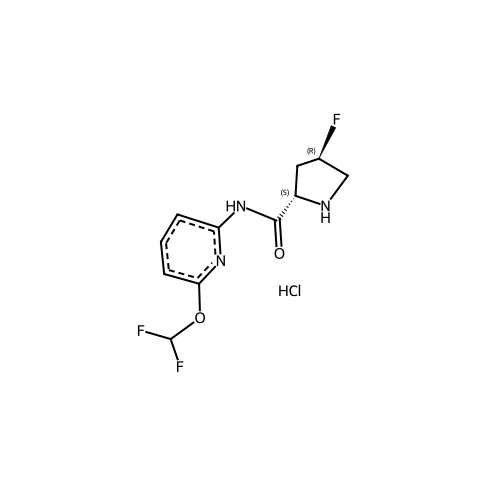 Cl.O=C(Nc1cccc(OC(F)F)n1)[C@@H]1C[C@@H](F)CN1